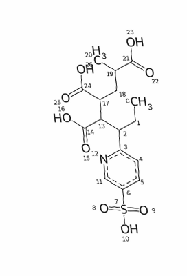 CCC(c1ccc(S(=O)(=O)O)cn1)C(C(=O)O)C(CC(C)C(=O)O)C(=O)O